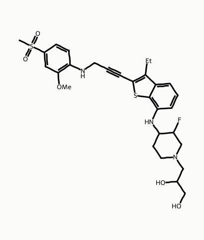 CCc1c(C#CCNc2ccc(S(C)(=O)=O)cc2OC)sc2c(NC3CCN(CC(O)CO)CC3F)cccc12